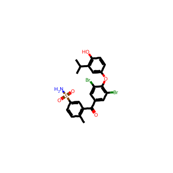 Cc1ccc(S(N)(=O)=O)cc1C(=O)c1cc(Br)c(Oc2ccc(O)c(C(C)C)c2)c(Br)c1